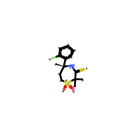 CC1(C)C(=S)N[C@](C)(c2ccccc2F)CCS1(=O)=O